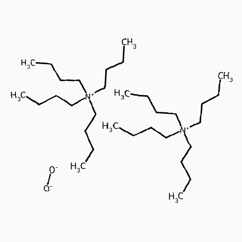 CCCC[N+](CCCC)(CCCC)CCCC.CCCC[N+](CCCC)(CCCC)CCCC.[O-][O-]